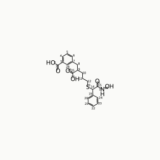 O=C(O)c1cccc(CC(CCCSC(C(=O)NO)c2ccccc2)C(=O)O)c1